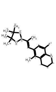 CC(=Cc1cc(F)c2c(c1C)CCCO2)B1OC(C)(C)C(C)(C)O1